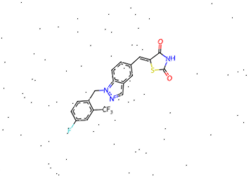 O=C1NC(=O)C(=Cc2ccc3c(cnn3Cc3ccc(F)cc3C(F)(F)F)c2)S1